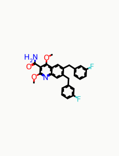 COc1nc2cc(Cc3cccc(F)c3)c(Cc3cccc(F)c3)cc2c(OC)c1C(N)=O